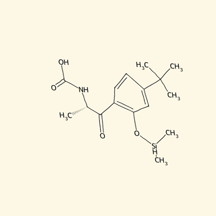 C[C@H](NC(=O)O)C(=O)c1ccc(C(C)(C)C)cc1O[SiH](C)C